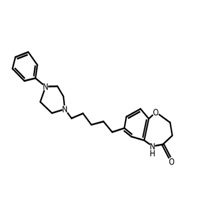 O=C1CCOc2ccc(CCCCCN3CCN(c4ccccc4)CC3)cc2N1